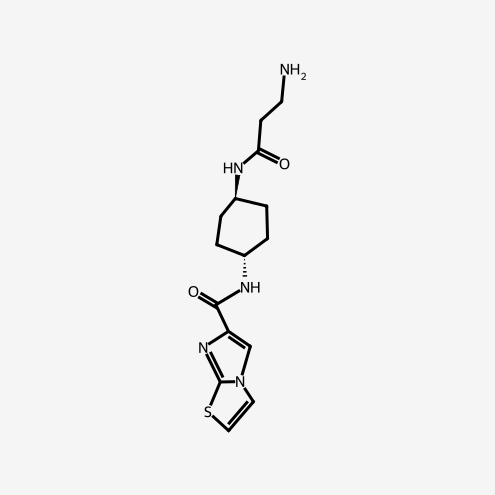 NCCC(=O)N[C@H]1CC[C@H](NC(=O)c2cn3ccsc3n2)CC1